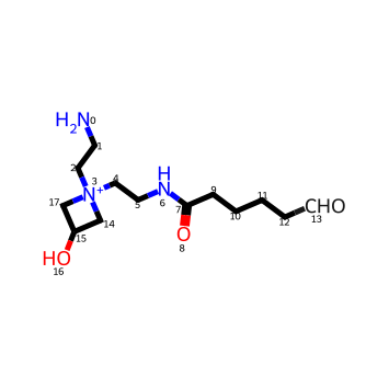 NCC[N+]1(CCNC(=O)CCCCC=O)CC(O)C1